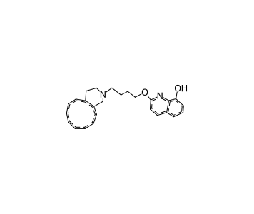 Oc1cccc2ccc(OCCCCN3CCc4ccccccccc4C3)nc12